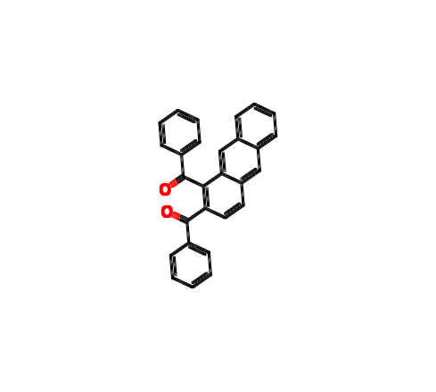 O=C(c1ccccc1)c1ccc2cc3ccccc3cc2c1C(=O)c1ccccc1